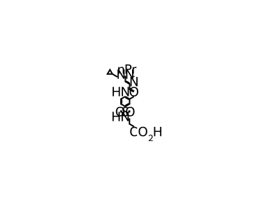 CCCN(CC1CC1)c1cc(C(=O)Nc2ccc(S(=O)(=O)NCCCC(=O)O)cc2C)ncn1